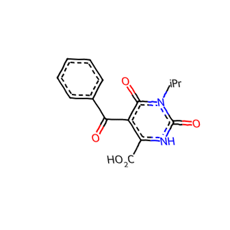 CC(C)n1c(=O)[nH]c(C(=O)O)c(C(=O)c2ccccc2)c1=O